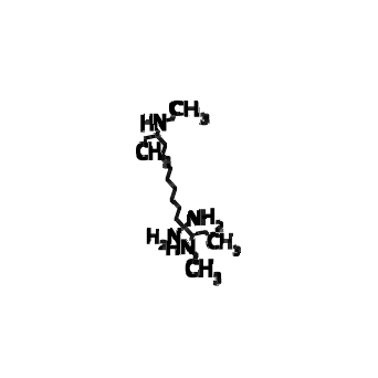 CCNC(CC)CCCCCCCCC(N)(N)C(CC)NCC